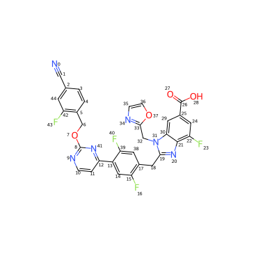 N#Cc1ccc(COc2nccc(-c3cc(F)c(Cc4nc5c(F)cc(C(=O)O)cc5n4Cc4ncco4)cc3F)n2)c(F)c1